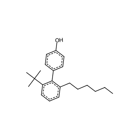 CCCCCCc1cccc(C(C)(C)C)c1-c1ccc(O)cc1